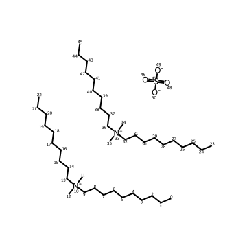 CCCCCCCCCC[N+](C)(C)CCCCCCCCCC.CCCCCCCCCC[N+](C)(C)CCCCCCCCCC.O=S(=O)([O-])[O-]